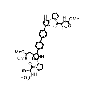 COC(=O)N[C@H](C(=O)N1CCC[C@H]1c1nc(-c2ccc(-c3ccc(-c4[nH]c([C@@H]5CCCN5C(=O)[C@@H](NC(=O)O)C(C)C)nc4CC(OC)OC)cc3)cc2)c[nH]1)C(C)C